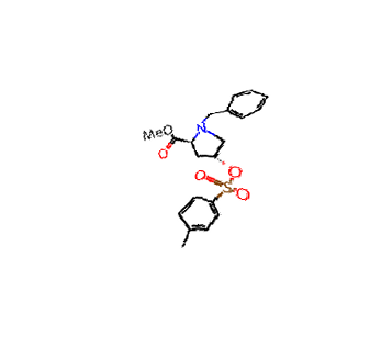 COC(=O)[C@@H]1C[C@@H](OS(=O)(=O)c2ccc(C)cc2)CN1Cc1ccccc1